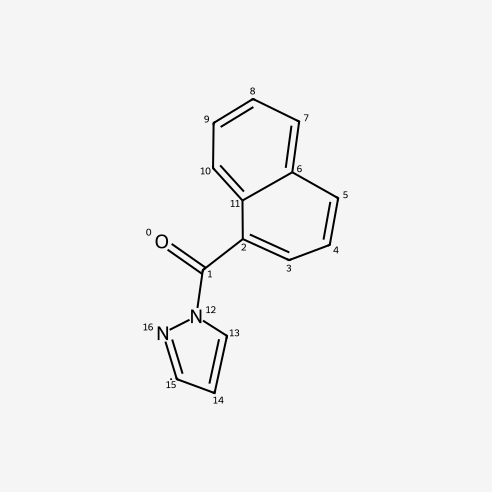 O=C(c1cccc2ccccc12)n1cc[c]n1